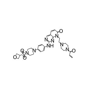 C=CC(=O)N1CCN(CCn2c(=O)ccc3cnc(Nc4ccc(N5CCN(S(=O)(=O)C6COC6)CC5)cc4)nc32)CC1